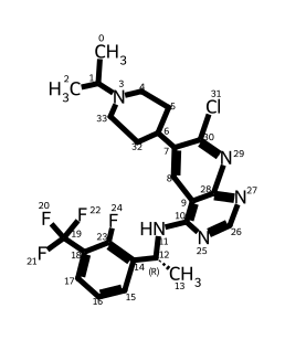 CC(C)N1CCC(c2cc3c(N[C@H](C)c4cccc(C(F)(F)F)c4F)ncnc3nc2Cl)CC1